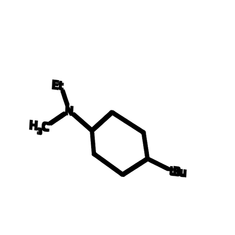 CCN(C)C1CCC(C(C)(C)C)CC1